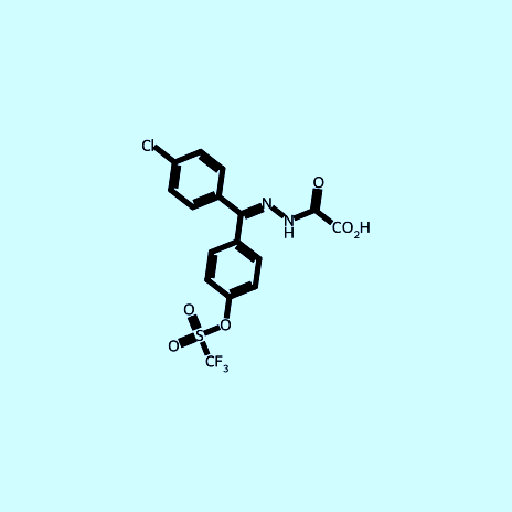 O=C(O)C(=O)NN=C(c1ccc(Cl)cc1)c1ccc(OS(=O)(=O)C(F)(F)F)cc1